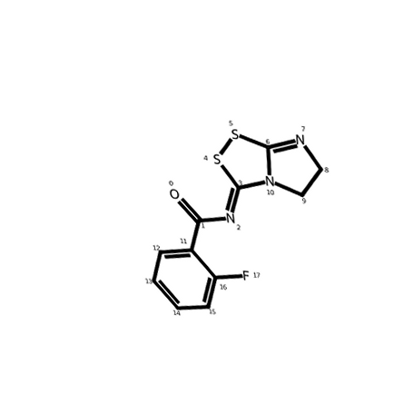 O=C(N=C1SSC2=NCCN21)c1ccccc1F